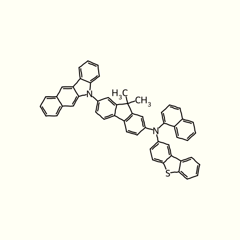 CC1(C)c2cc(N(c3ccc4sc5ccccc5c4c3)c3cccc4ccccc34)ccc2-c2ccc(-n3c4ccccc4c4cc5ccccc5cc43)cc21